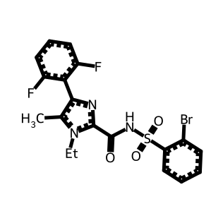 CCn1c(C(=O)NS(=O)(=O)c2ccccc2Br)nc(-c2c(F)cccc2F)c1C